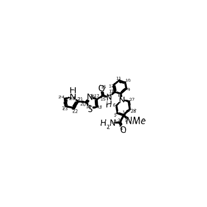 CNC1(C(N)=O)CCN(c2ccccc2NC(=O)c2csc(-c3ccc[nH]3)n2)CC1